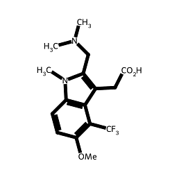 COc1ccc2c(c(CC(=O)O)c(CN(C)C)n2C)c1C(F)(F)F